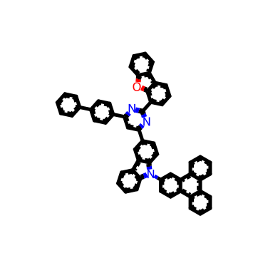 c1ccc(-c2ccc(-c3cc(-c4ccc5c(c4)c4ccccc4n5-c4ccc5c6ccccc6c6ccccc6c5c4)nc(-c4cccc5c4oc4ccccc45)n3)cc2)cc1